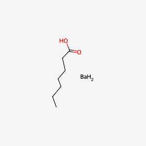 CCCCCCC(=O)O.[BaH2]